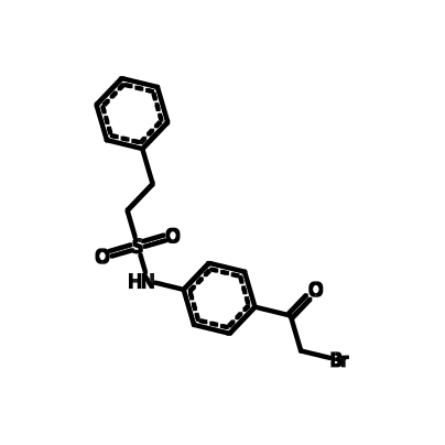 O=C(CBr)c1ccc(NS(=O)(=O)CCc2ccccc2)cc1